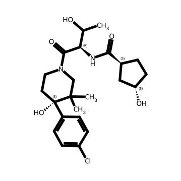 CC(O)[C@@H](NC(=O)[C@H]1CC[C@H](O)C1)C(=O)N1CC[C@](O)(c2ccc(Cl)cc2)C(C)(C)C1